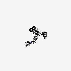 Cc1nccc(/C=C/C(=O)N2CCN(c3nc(OC[C@@]45CCCN4C[C@H](F)C5)nc4c(F)c(-c5cccc6cccc(Cl)c56)ncc34)CC2)n1